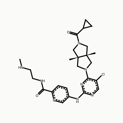 CNCCNC(=O)c1ccc(Nc2ncc(Cl)c(N3C[C@]4(C)CN(C(=O)C5CC5)C[C@]4(C)C3)n2)cn1